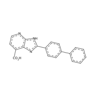 O=C(O)c1ccnc2[nH]c(-c3ccc(-c4ccccc4)cc3)nc12